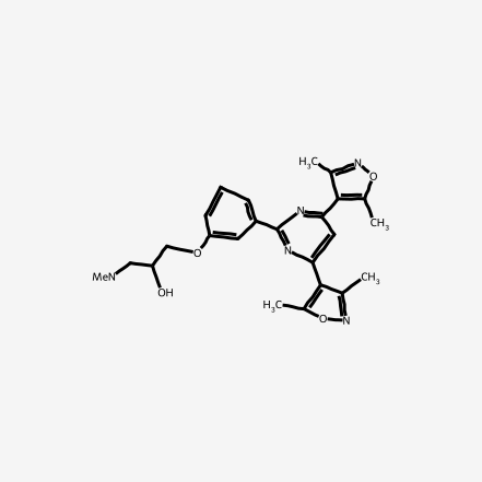 CNCC(O)COc1cccc(-c2nc(-c3c(C)noc3C)cc(-c3c(C)noc3C)n2)c1